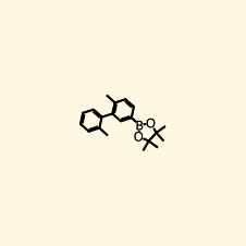 Cc1ccccc1-c1cc(B2OC(C)(C)C(C)(C)O2)ccc1C